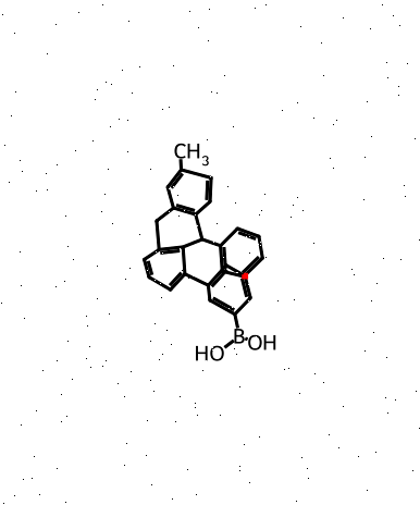 Cc1ccc2c(c1)Cc1cccc(-c3cccc(B(O)O)c3)c1C2c1ccccc1